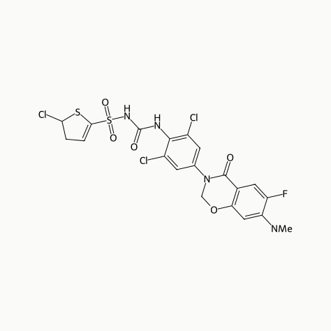 CNc1cc2c(cc1F)C(=O)N(c1cc(Cl)c(NC(=O)NS(=O)(=O)C3=CCC(Cl)S3)c(Cl)c1)CO2